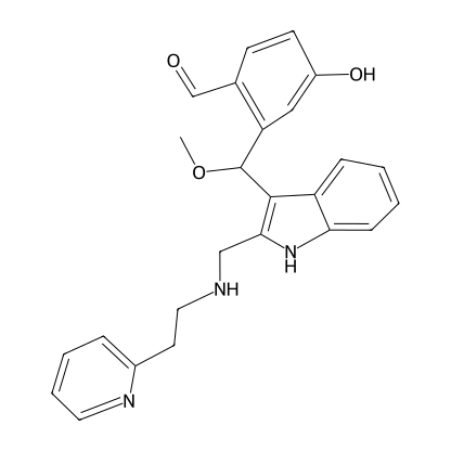 COC(c1cc(O)ccc1C=O)c1c(CNCCc2ccccn2)[nH]c2ccccc12